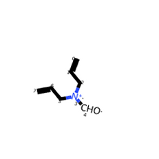 C=CC[N+]([C]=O)CC=C